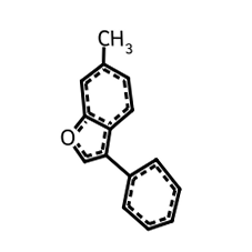 Cc1ccc2c(-c3ccccc3)coc2c1